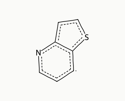 [c]1ccnc2ccsc12